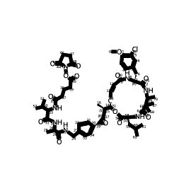 COc1ccc(C[C@H]2NC(=O)C=CC[C@@H]([C@H](C)[C@H]3O[C@@H]3c3ccc(CNC(=O)C(C)NC(=O)C(NC(=O)CCCC(=O)ON4C(=O)CCC4=O)C(C)C)cc3)OC(=O)[C@H](CC(C)C)NC(=O)C(C)(C)C(C)NC2=O)cc1Cl